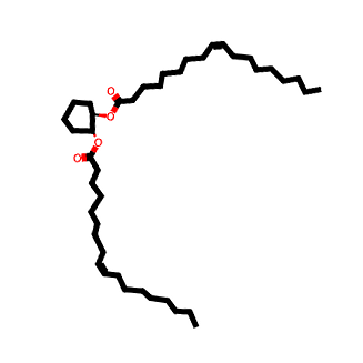 CCCCCCCC/C=C\CCCCCCCC(=O)O[C@@H]1CCCC[C@H]1OC(=O)CCCCCCC/C=C\CCCCCCCC